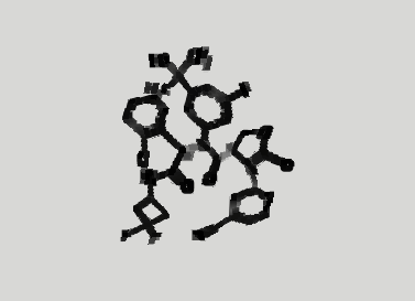 CC(C)(O)c1cc(F)cc(N(C(=O)[C@@H]2COC(=O)N2c2cc(C#N)ccn2)[C@H](C(=O)NC2CC(F)(F)C2)c2ccccc2Cl)c1